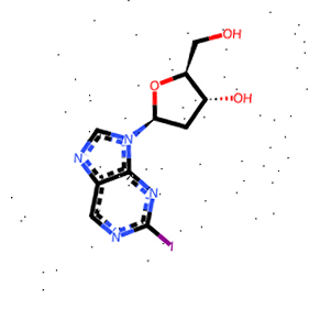 OC[C@@H]1O[C@H](n2cnc3cnc(I)nc32)C[C@H]1O